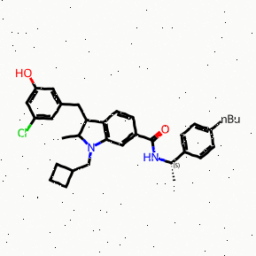 CCCCc1ccc([C@H](C)NC(=O)c2ccc3c(c2)N(CC2CCC2)C(C)C3Cc2cc(O)cc(Cl)c2)cc1